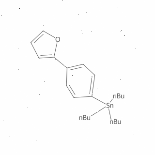 CCC[CH2][Sn]([CH2]CCC)([CH2]CCC)[c]1ccc(-c2ccco2)cc1